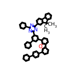 CC1(C)c2ccccc2-c2ccc(-c3nc(-c4ccccc4)nc(-c4cc(-c5ccccc5)cc(-c5cccc6c5oc5c(-c7ccc(-c8ccccc8)cc7)cccc56)c4)n3)cc21